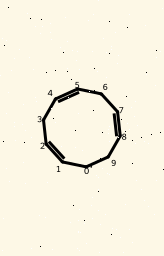 [CH]1C=CCC=CCC=CC1